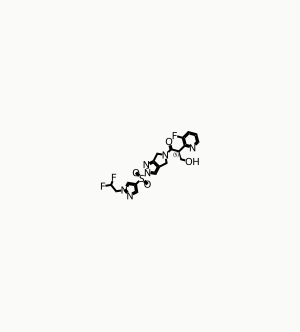 O=C([C@H](CO)c1ncccc1F)N1Cc2cn(S(=O)(=O)c3cnn(CC(F)F)c3)nc2C1